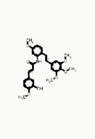 COc1ccc(/C=C/c2cc(OC)c(OC)c(OC)c2)c(NC(=O)/C=C/c2ccc(OC)c(O)c2)c1